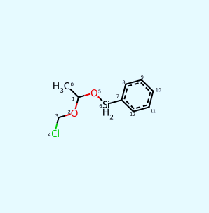 CC(OCCl)O[SiH2]c1ccccc1